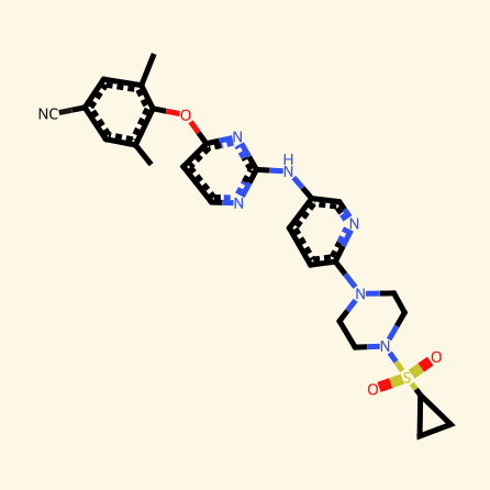 Cc1cc(C#N)cc(C)c1Oc1ccnc(Nc2ccc(N3CCN(S(=O)(=O)C4CC4)CC3)nc2)n1